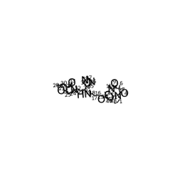 CCN1C(=O)C(C)(C)C(=O)N(C)c2cc(OCCCNC(CCn3ccc4oc(C)cc4c3=O)c3cncnc3)ccc21